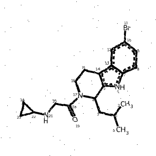 CC(C)CC1c2[nH]c3ccc(Br)cc3c2CCN1C(=O)CNC1CC1